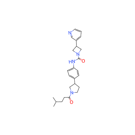 CC(C)CCC(=O)N1CCC(c2ccc(NC(=O)N3CC(c4cccnc4)C3)cc2)C1